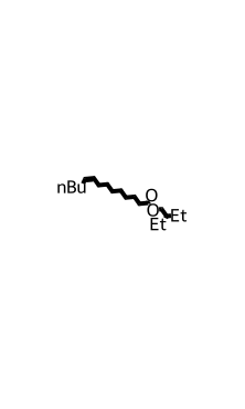 CCCC/C=C\CCCCCCCC(=O)OCC(CC)CC